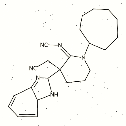 N#CCC1(C2N=C3C=CC=CC3N2)[CH]CCN(C2CCCCCCC2)C1=NC#N